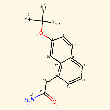 [2H]C([2H])([2H])Oc1ccc2cccc(CC(N)=O)c2c1